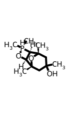 CC1(O)C[C@@]2(C)O[C@@](C)(C1)[C@H]1[C@@H]2O[PH]1(C)C